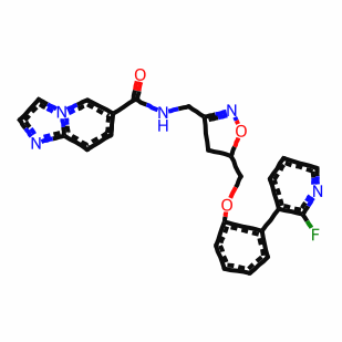 O=C(NCC1=NOC(COc2ccccc2-c2cccnc2F)C1)c1ccc2nccn2c1